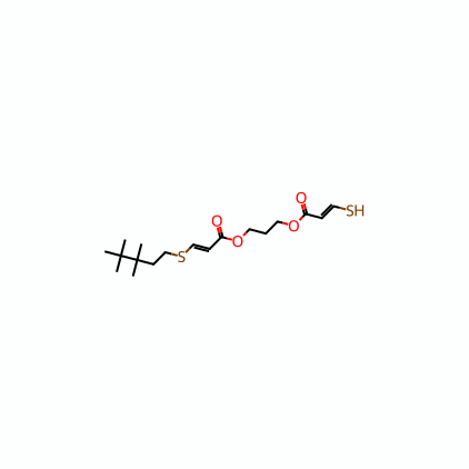 CC(C)(C)C(C)(C)CCS/C=C/C(=O)OCCCOC(=O)/C=C/S